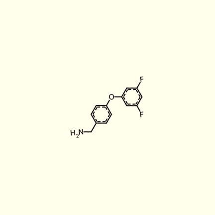 NCc1ccc(Oc2cc(F)cc(F)c2)cc1